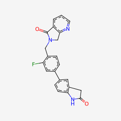 O=C1Cc2cc(-c3ccc(CN4Cc5ncccc5C4=O)c(F)c3)ccc2N1